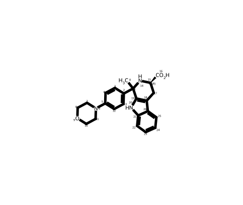 CC1(c2ccc(N3CCOCC3)cc2)N[C@@H](C(=O)O)Cc2c1[nH]c1ccccc21